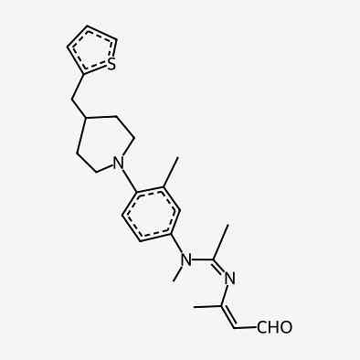 CC(=C/C=O)/N=C(/C)N(C)c1ccc(N2CCC(Cc3cccs3)CC2)c(C)c1